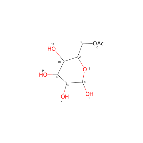 CC(=O)OCC1OC(O)C(O)C(O)C1O